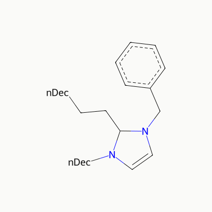 CCCCCCCCCCCCC1N(CCCCCCCCCC)C=CN1Cc1ccccc1